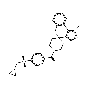 Cn1ncc2c1-c1ccccc1OC21CCN(C(=O)c2ccc(S(=O)(=O)NC3CC3)cc2)CC1